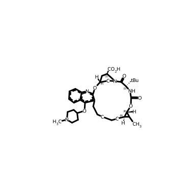 CC1[C@H]2CCCCCc3c(nc4ccccc4c3OC3CCN(C)CC3)O[C@@H]3C[C@@H](C(=O)O)N(C3)C(=O)[C@H](C(C)(C)C)NC(=O)O[C@H]12